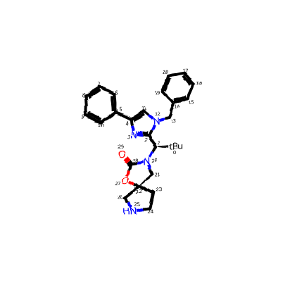 CC(C)(C)[C@H](c1nc(-c2ccccc2)cn1Cc1ccccc1)N1C[C@]2(CCNC2)OC1=O